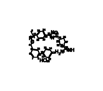 CC(=NOCc1cccc(-c2ccccc2)c1)c1ccc(-c2noc([C@@H]3CCN(C(=N)N)C3)n2)cc1.Cl